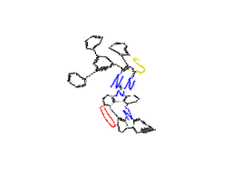 c1ccc(-c2cc(-c3ccccc3)cc(-c3nc(-n4c5ccc6oc7ccc8c9ccccc9n9c%10cccc4c%10c5c6c7c89)nc4sc5ccccc5c34)c2)cc1